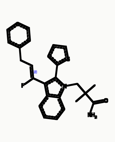 CC(C)(Cn1c(-c2cccs2)c(/C(F)=C/Cc2ccccc2)c2ccccc21)C(N)=O